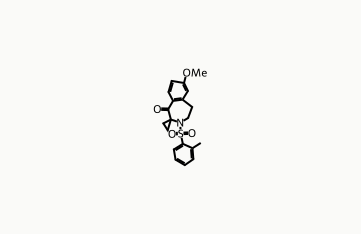 COc1ccc2c(c1)CCN(S(=O)(=O)c1ccccc1C)C1(CC1)C2=O